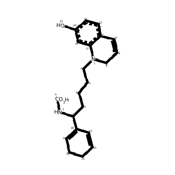 O=C(O)NC(CCCCN1CC=Cc2ccc(O)cc21)C1=CCCC=C1